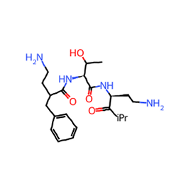 CC(C)C(=O)[C@H](CCN)NC(=O)[C@@H](NC(=O)C(CCN)Cc1ccccc1)C(C)O